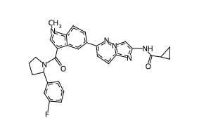 Cn1cc(C(=O)N2CCCC2c2cccc(F)c2)c2cc(-c3ccc4nc(NC(=O)C5CC5)cn4n3)ccc21